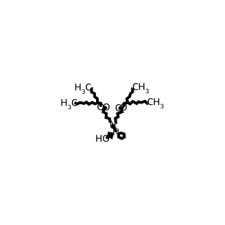 CCCCCCCCC(CCCCCC)COC(=O)CCCCCN(CCCCCC(=O)OCC(CCCCCC)CCCCCCCC)CCN(C1CCCCC1)C1CC(O)C1